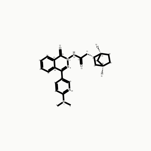 CN(C)c1ccc(-c2nn(NC(=O)C[C@H]3C[C@@H]4CC[C@H]3C4)c(=O)c3ccccc23)cn1